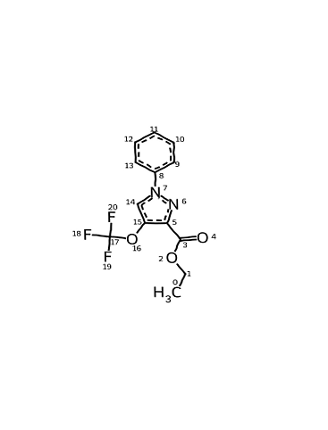 CCOC(=O)c1nn(-c2ccccc2)cc1OC(F)(F)F